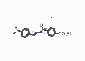 CCOC(=O)c1ccc(/[N+]([O-])=C/C=C/c2ccc(N(C)C)cc2)cc1